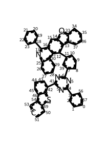 c1ccc(-c2nc(-c3cccc(-c4c5c(cc6c(-c7ccccc7)nc7ccccc7c46)oc4ccccc45)c3)nc(-c3cccc4c3sc3ccccc34)n2)cc1